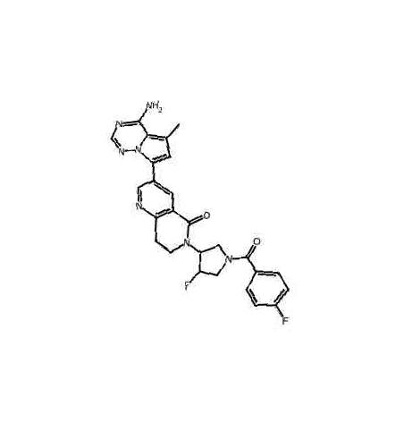 Cc1cc(-c2cnc3c(c2)C(=O)N(C2CN(C(=O)c4ccc(F)cc4)CC2F)CC3)n2ncnc(N)c12